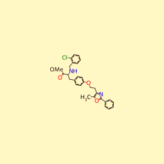 COC(=O)C(Cc1ccc(OCCc2nc(-c3ccccc3)oc2C)cc1)NCc1ccccc1Cl